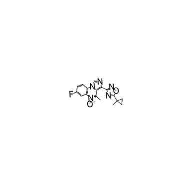 Cc1c2c(-c3noc(C4(C)CC4)n3)ncn2c2ccc(F)cc2[n+]1[O-]